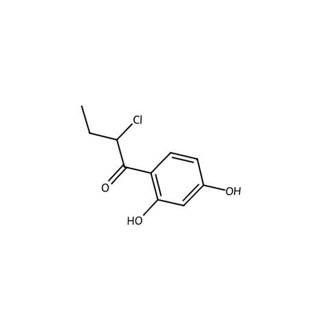 CCC(Cl)C(=O)c1ccc(O)cc1O